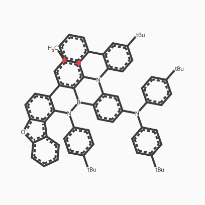 Cc1cc2c3c(c1)N(c1ccc(C(C)(C)C)cc1-c1ccccc1)c1cc(N(c4ccc(C(C)(C)C)cc4)c4ccc(C(C)(C)C)cc4)ccc1B3N(c1ccc(C(C)(C)C)cc1)c1c-2ccc2oc3ccccc3c12